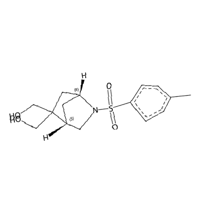 Cc1ccc(S(=O)(=O)N2C[C@H]3C[C@@H]2CC3(CO)CO)cc1